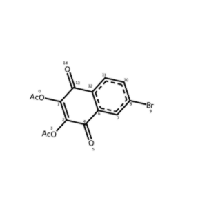 CC(=O)OC1=C(OC(C)=O)C(=O)c2cc(Br)ccc2C1=O